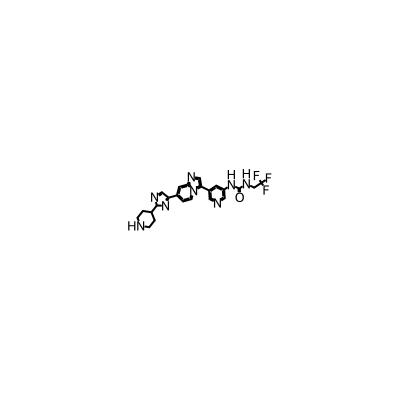 O=C(NCC(F)(F)F)Nc1cncc(-c2cnc3cc(C4=NC(C5CCNCC5)N=C4)ccn23)c1